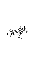 C=C(/N=C(N)\N=C(/C)NCCc1ccccc1OC)c1cccc(C)c1C